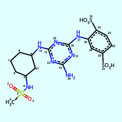 CS(=O)(=O)NC1CCCC(Nc2nc(N)nc(Nc3cc(S(=O)(=O)O)ccc3S(=O)(=O)O)n2)C1